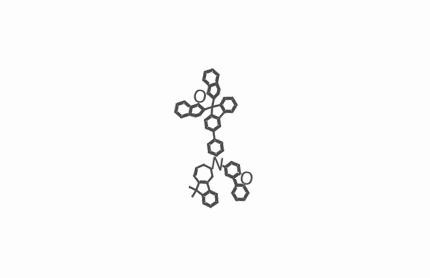 CC1(C)C2=C(CC(N(c3ccc(-c4ccc5c(c4)-c4ccccc4C54c5ccc6ccccc6c5Oc5c4ccc4ccccc54)cc3)c3ccc4oc5ccccc5c4c3)CC=C2)c2ccccc21